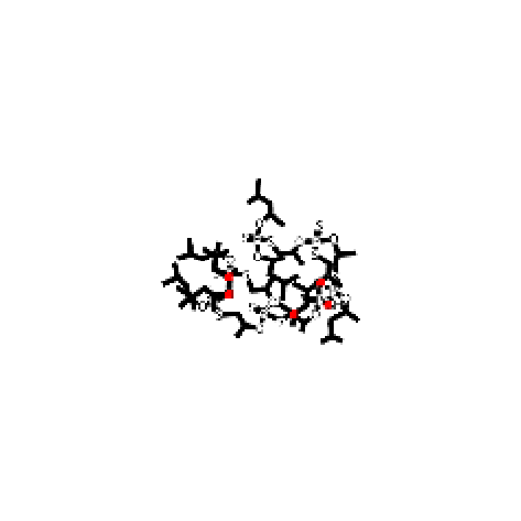 CC(C)CC(C)OP(=S)(OC(C)CC(C)C)SCC(C)OP(=S)(OC(C)CSP(=S)(OC(C)CC(C)C)OC(C)CC(C)C)SCC(C)OP(=S)(S)OC(C)CSP(=S)(OC(C)CSP(=S)(OC(C)CC(C)C)OC(C)CC(C)C)OC(C)CSP(=S)(OC(C)CC(C)C)OC(C)CC(C)C